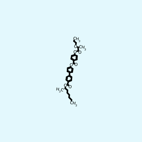 CCCCCC[C@H](C)OC(=O)c1ccc(-c2ccc(OC(=O)c3ccc(OC(=O)[C@H](C)OCCC)cc3)cc2)cc1